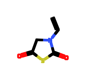 C=CN1CC(=O)SC1=O